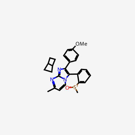 C1CC2CCC12.COc1ccc(-c2nc3nc(C)ccn3c2-c2ccccc2[S+](C)[O-])cc1